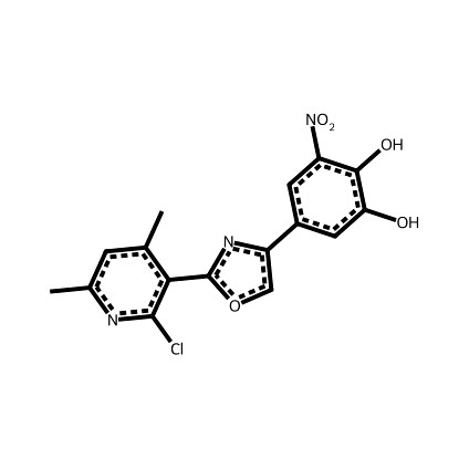 Cc1cc(C)c(-c2nc(-c3cc(O)c(O)c([N+](=O)[O-])c3)co2)c(Cl)n1